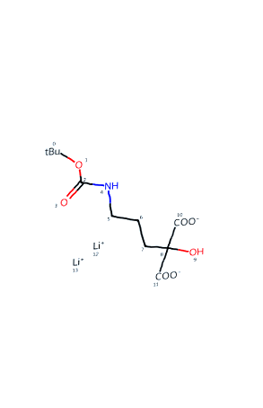 CC(C)(C)OC(=O)NCCCC(O)(C(=O)[O-])C(=O)[O-].[Li+].[Li+]